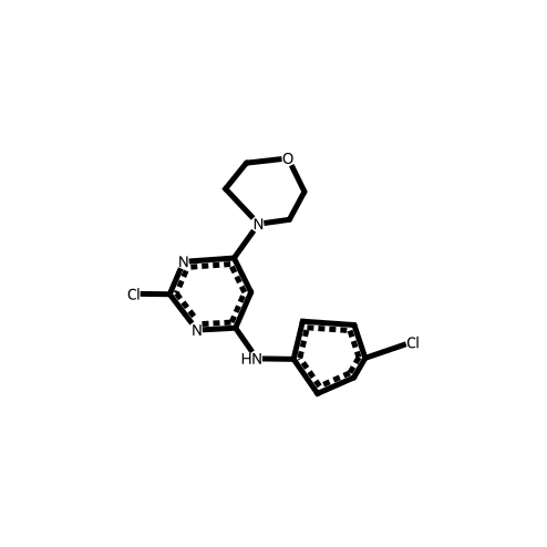 Clc1ccc(Nc2cc(N3CCOCC3)nc(Cl)n2)cc1